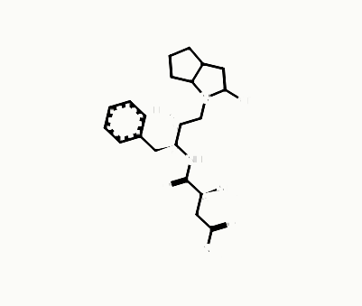 NC(=O)C[C@H](N)C(=O)N[C@@H](Cc1ccccc1)[C@H](O)CN1C2CCCC2CC1C(F)(F)F